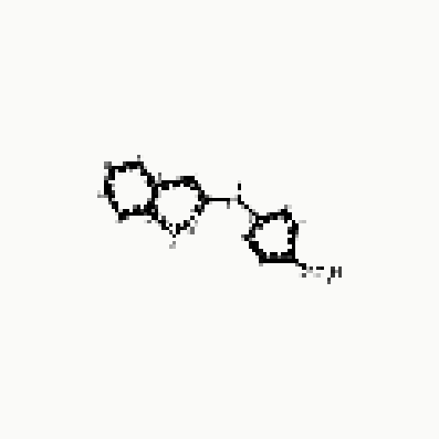 O=S(=O)(O)c1ccc(Nc2cc3ccccc3nn2)cc1